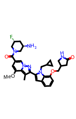 COc1cc(C(=O)N2C[C@H](N)C[C@@H](F)C2)cn2nc(-c3cc4cccc(OCC5CNC(=O)C5)c4n3CC3CC3)c(C)c12